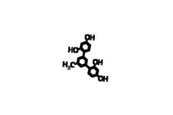 Cc1cc(-c2ccc(O)cc2O)cc(-c2ccc(O)cc2O)c1